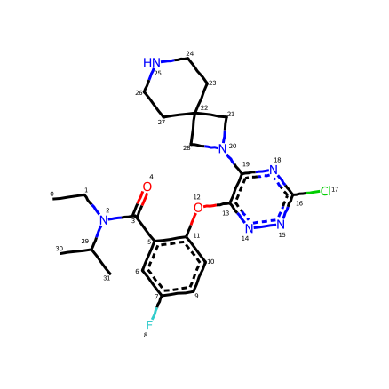 CCN(C(=O)c1cc(F)ccc1Oc1nnc(Cl)nc1N1CC2(CCNCC2)C1)C(C)C